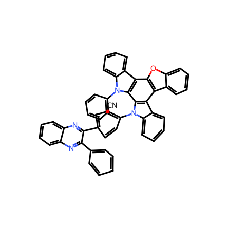 N#Cc1cc(-c2nc3ccccc3nc2-c2ccccc2)ccc1-n1c2ccccc2c2c3c4ccccc4oc3c3c4ccccc4n(-c4ccccc4)c3c21